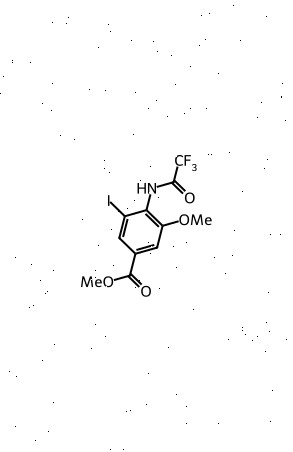 COC(=O)c1cc(I)c(NC(=O)C(F)(F)F)c(OC)c1